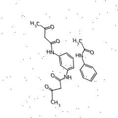 CC(=O)CC(=O)Nc1cccc(NC(=O)CC(C)=O)c1.CC(=O)Nc1ccccc1